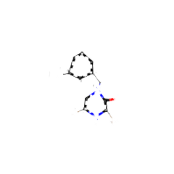 O=c1c(Br)nc(Br)cn1Cc1cccc(C(F)(F)F)c1